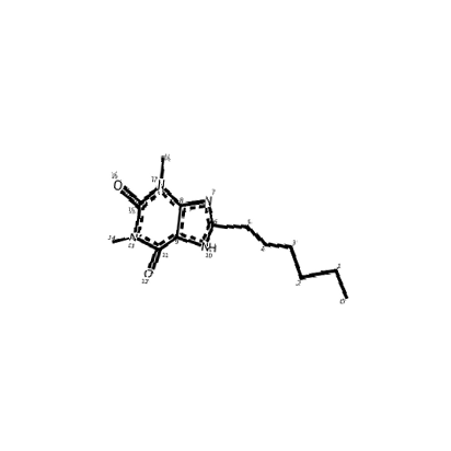 CCCCCCc1nc2c([nH]1)c(=O)n(C)c(=O)n2C